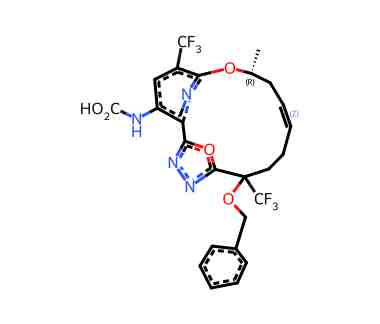 C[C@@H]1C/C=C\CCC(OCc2ccccc2)(C(F)(F)F)c2nnc(o2)-c2nc(c(C(F)(F)F)cc2NC(=O)O)O1